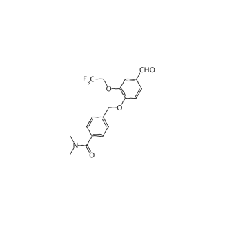 CN(C)C(=O)c1ccc(COc2ccc(C=O)cc2OCC(F)(F)F)cc1